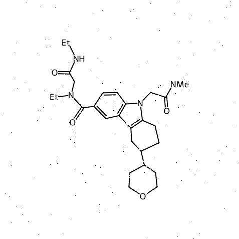 CCNC(=O)CN(CC)C(=O)c1ccc2c(c1)c1c(n2CC(=O)NC)CCC(C2CCOCC2)C1